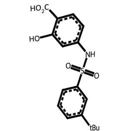 CC(C)(C)c1cccc(S(=O)(=O)Nc2ccc(C(=O)O)c(O)c2)c1